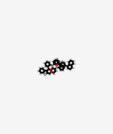 c1cc(-c2ccc(-c3cccc4ccccc34)cc2)cc(N(c2ccccc2-c2cccc3oc4ccccc4c23)c2ccccc2-n2c3ccccc3c3ccccc32)c1